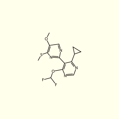 COc1cnc(-c2c(OC(F)F)ncnc2C2CC2)nc1SC